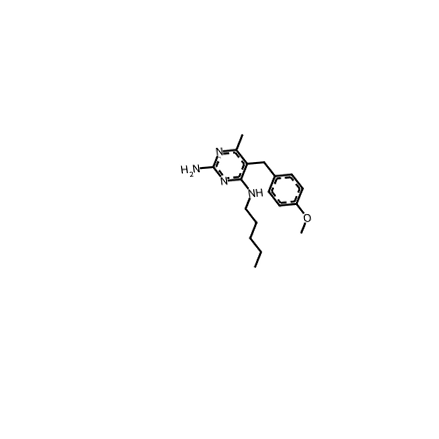 CCCCCNc1nc(N)nc(C)c1Cc1ccc(OC)cc1